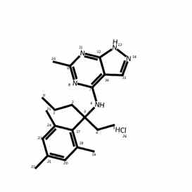 CCCC(CC)(Nc1nc(C)nc2[nH]ncc12)c1c(C)cc(C)cc1C.Cl